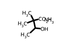 CC(O)C(C)(C)C(=O)O.N